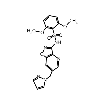 COc1cccc(OC)c1S(=O)(=O)Nc1noc2cc(Cn3cccn3)cnc12